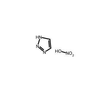 O=[N+]([O-])O.c1c[nH]nn1